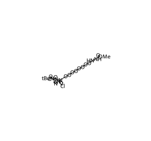 COC(=O)CCNCCNCCOCCOCCOCCOCCOCCOCCOCCOCCCCn1c(CN2C(=O)C3(CN(C(=O)OC(C)(C)C)C3)c3ccncc32)nc2cc(Cl)ccc21